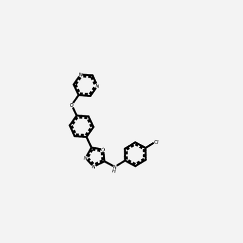 Clc1ccc(Nc2nnc(-c3ccc(Oc4cncnc4)cc3)o2)cc1